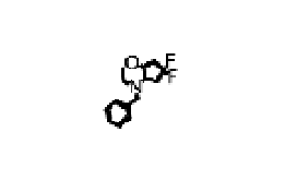 FC1(F)CC2OCCN(Cc3ccccc3)C2C1